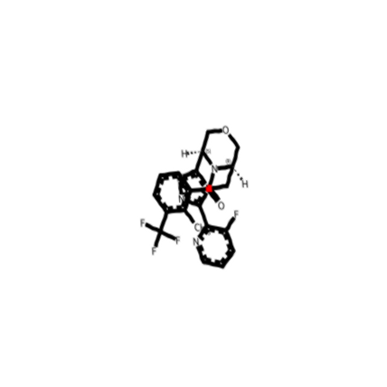 Cc1c(C(=O)N2[C@H]3COC[C@@H]2c2nnc(-c4ncccc4F)n2C3)cccc1C(F)(F)F